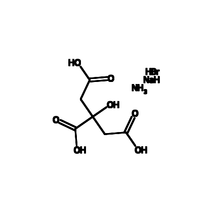 Br.N.O=C(O)CC(O)(CC(=O)O)C(=O)O.[NaH]